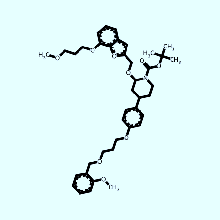 COCCCOc1cccc2cc(COC3CC(c4ccc(OCCCOCc5ccccc5OC)cc4)CCN3C(=O)OC(C)(C)C)oc12